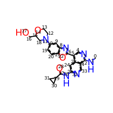 CNc1ncc(-c2nc3cc(N4CCOC(CO)C4)ccc3o2)c2cc(NC(=O)C3CC3)ncc12